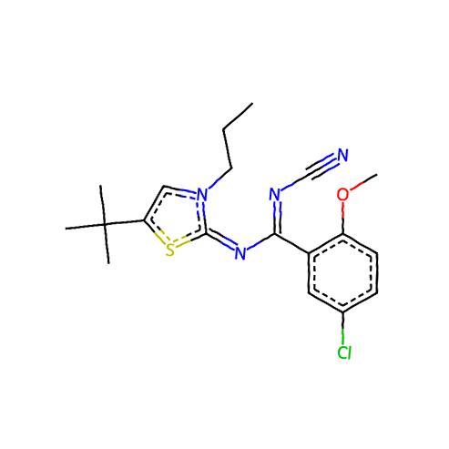 CCCn1cc(C(C)(C)C)sc1=NC(=NC#N)c1cc(Cl)ccc1OC